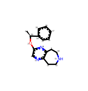 C[C@H](Oc1cnc2c(n1)CCNCC2)c1ccccc1